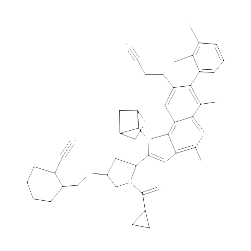 Cc1nc2c(F)c(-c3cccc(Cl)c3Cl)c(CCC#N)cc2c2c1cc(C1CC(OCC3CCCCC3C#N)CN1C(=O)C1CC1)n2C1C2CNC1C2